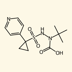 CC(C)(C)N(NS(=O)(=O)C1(c2ccncc2)CC1)C(=O)O